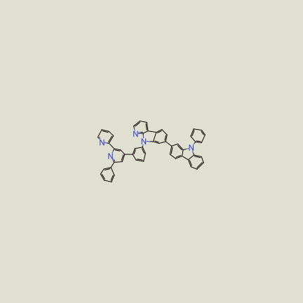 c1ccc(-c2cc(-c3cccc(-n4c5cc(-c6ccc7c8ccccc8n(-c8ccccc8)c7c6)ccc5c5cccnc54)c3)cc(-c3ccccn3)n2)cc1